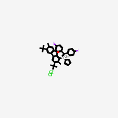 Cc1cc2c(cc1C(C)(C)C)-c1cc(C(C)(C)C)c(C)[c]([Zr+2](=[C](c3ccc(I)cc3)c3ccc(I)cc3)[CH]3C=CC=C3)c1C2.[Cl-].[Cl-]